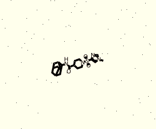 Cn1cnc(S(=O)(=O)N2CCC(C(=O)NC3C4CC5CC(C4)CC3C5)CC2)c1